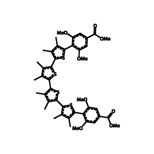 COC(=O)c1cc(OC)c(-c2sc(-c3sc(-c4sc(-c5sc(-c6c(OC)cc(C(=O)OC)cc6OC)c(C)c5C)c(C)c4C)c(C)c3C)c(C)c2C)c(OC)c1